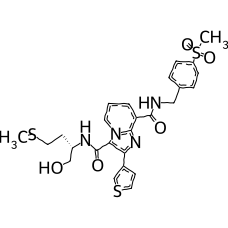 CSCC[C@@H](CO)NC(=O)c1c(-c2ccsc2)nc2c(C(=O)NCc3ccc(S(C)(=O)=O)cc3)cccn12